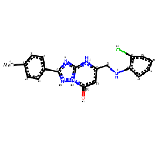 COc1ccc(-c2nc3[nH]c(CNc4ccccc4Cl)cc(=O)n3n2)cc1